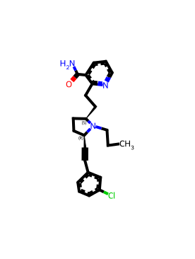 CCCN1[C@H](CCc2ncccc2C(N)=O)CC[C@@H]1C#Cc1cccc(Cl)c1